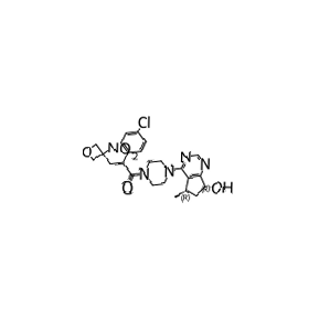 C[C@@H]1C[C@@H](O)c2ncnc(N3CCN(C(=O)C(CC4([N+](=O)[O-])COC4)c4ccc(Cl)cc4)CC3)c21